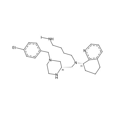 CCc1ccc(CN2CCN[C@@H](CN(CCCCNI)[C@H]3CCCc4cccnc43)C2)cc1